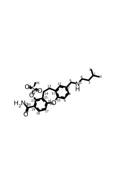 CC(C)CCNCc1ccc2c(c1)CCc1c(ccc(C(N)=O)c1OS(C)(=O)=O)O2